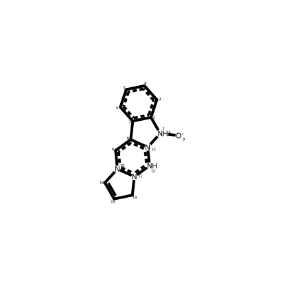 [O-][NH+]1c2ccccc2-c2cn3n([nH]n21)CC=C3